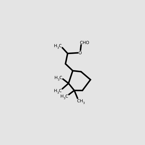 CC(CC1CCCC(C)(C)C1(C)C)OC=O